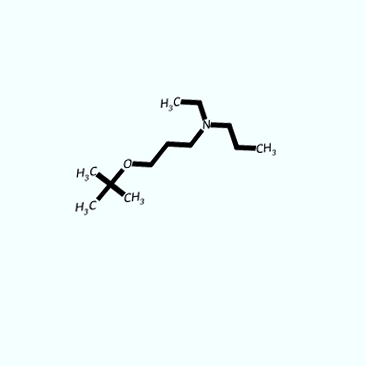 CCCN(CC)CCCOC(C)(C)C